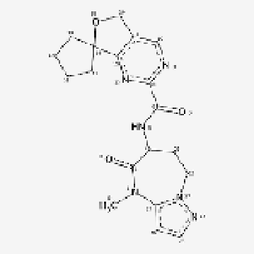 CN1C(=O)C(NC(=O)c2ncc3c(n2)C2(CCCC2)OC3)CCn2nccc21